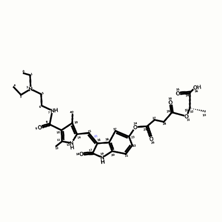 CCN(CC)CCNC(=O)c1c(C)[nH]c(/C=C2\C(=O)Nc3ccc(OC(=O)CCC(=O)O[C@@H](C)C(=O)O)cc32)c1C